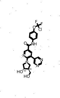 O=C(Nc1ccc(OC(F)(F)Cl)cc1)c1cnc(N2C[C@@H](CO)[C@H](O)C2)c(-c2cncnc2)c1